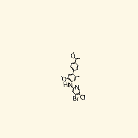 C=C(OC)c1ccc(-c2cc(OC)c(Nc3cc(Br)c(Cl)cn3)cc2C)cc1